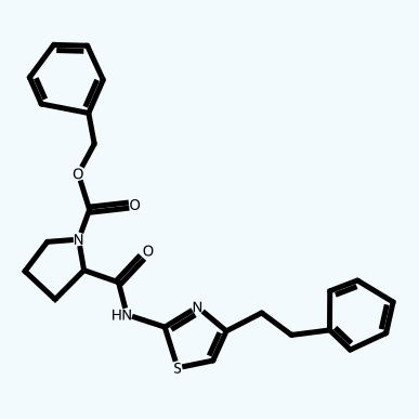 O=C(Nc1nc(CCc2ccccc2)cs1)C1CCCN1C(=O)OCc1ccccc1